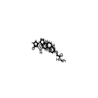 CC(C)NC(=O)CO[C@H]1CC[C@@]2(C)[C@H](CC[C@@H]3[C@@H]2C[C@@H](O)[C@]2(C)[C@@H](C4=CC(=O)CC4)CC[C@]32O)C1